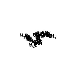 C=C(Nc1cccc(Cn2nc(-c3ccc(-c4noc(C)n4)cc3)ccc2=O)c1)OCCCN1CCN(C)CC1